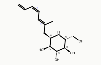 C=C/C=C\C=C(/C)C[C@H]1N[C@H](CO)[C@@H](O)[C@H](O)[C@H]1O